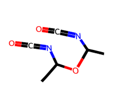 CC(N=C=O)OC(C)N=C=O